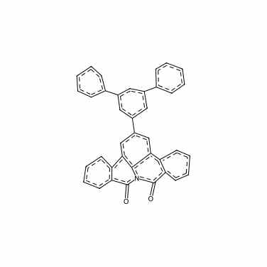 O=c1c2ccccc2c2cc(-c3cc(-c4ccccc4)cc(-c4ccccc4)c3)cc3c4ccccc4c(=O)n1c23